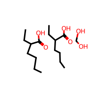 CCCCC(CC)C(=O)O.CCCCC(CC)C(=O)O.OCO